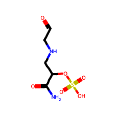 NC(=O)C(CNCC=O)OS(=O)(=O)O